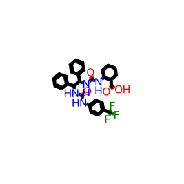 O=C(Nc1ccc(C(F)(F)F)cc1)NC(c1ccccc1)C(NC(=O)NC1CCCCC1C(=O)O)c1ccccc1